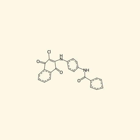 O=C(Nc1ccc(NC2=C(Cl)C(=O)c3ccccc3C2=O)cc1)c1ccccc1